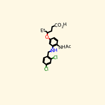 CCC(CCC(=O)O)Oc1ccc(NC(C)=O)c(NCc2ccc(Cl)cc2Cl)c1